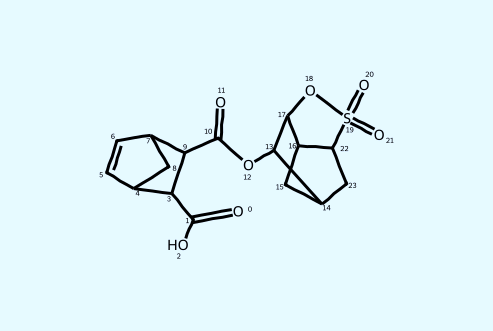 O=C(O)C1C2C=CC(C2)C1C(=O)OC1C2CC3C1OS(=O)(=O)C3C2